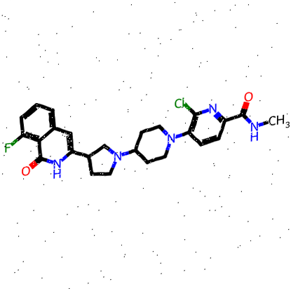 CNC(=O)c1ccc(N2CCC(N3CCC(c4cc5cccc(F)c5c(=O)[nH]4)C3)CC2)c(Cl)n1